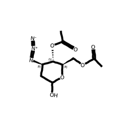 CC(=O)OC[C@H]1OC(O)C[C@@H](N=[N+]=[N-])[C@@H]1OC(C)=O